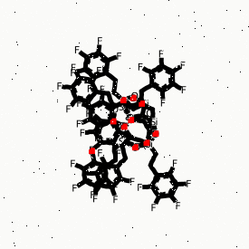 Fc1c(F)c(F)c(CCC2(F)c3c(F)c(F)c(F)c(F)c3O[Si]3(CCc4c(F)c(F)c(F)c(F)c4F)O[Si]45CC[Si]26O[Si](CCc2c(F)c(F)c(F)c(F)c2F)(O[Si]2(CCc7c(F)c(F)c(F)c(F)c7F)OC7(Cc8c(F)c(F)c(F)c(F)c8F)C[Si](O2)(O6)C42O[Si]7(CCc4c(F)c(F)c(F)c(F)c4F)O[Si]2(CCc2c(F)c(F)c(F)c(F)c2F)O3)O5)c(F)c1F